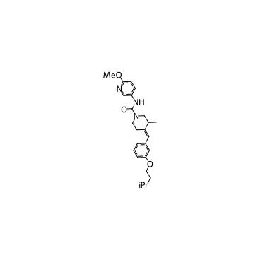 COc1ccc(NC(=O)N2CCC(=Cc3cccc(OCCC(C)C)c3)C(C)C2)cn1